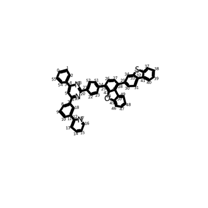 c1ccc(-c2cc(-c3cccc(-c4ccccn4)c3)nc(-c3ccc(-c4ccc(-c5ccc6c(c5)sc5ccccc56)c5c4oc4ccccc45)cc3)n2)cc1